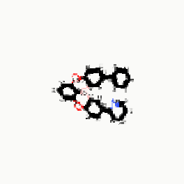 c1ccc(-c2ccc3c(c2)B2c4cc(-c5ccccn5)ccc4Oc4cccc(c42)O3)cc1